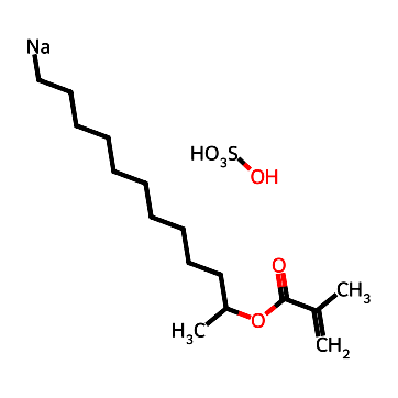 C=C(C)C(=O)OC(C)CCCCCCCCC[CH2][Na].O=S(=O)(O)O